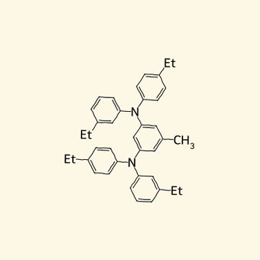 CCc1ccc(N(c2cccc(CC)c2)c2cc(C)cc(N(c3ccc(CC)cc3)c3cccc(CC)c3)c2)cc1